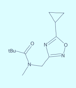 CN(Cc1noc(C2CC2)n1)C(=O)C(C)(C)C